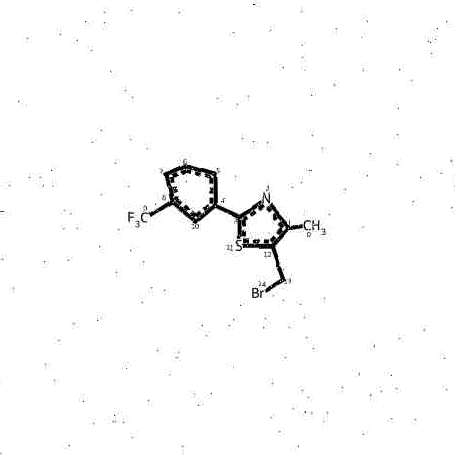 Cc1nc(-c2cccc(C(F)(F)F)c2)sc1CBr